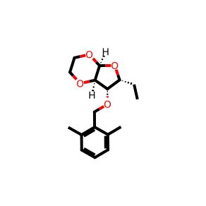 CC[C@H]1O[C@@H]2OCCO[C@@H]2[C@H]1OCc1c(C)cccc1C